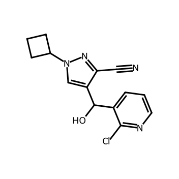 N#Cc1nn(C2CCC2)cc1C(O)c1cccnc1Cl